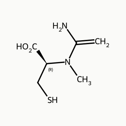 C=C(N)N(C)[C@@H](CS)C(=O)O